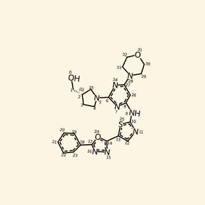 OC[C@H]1CCN(c2nc(Nc3ncc(-c4nnc(-c5ccccc5)o4)s3)cc(N3CCOCC3)n2)C1